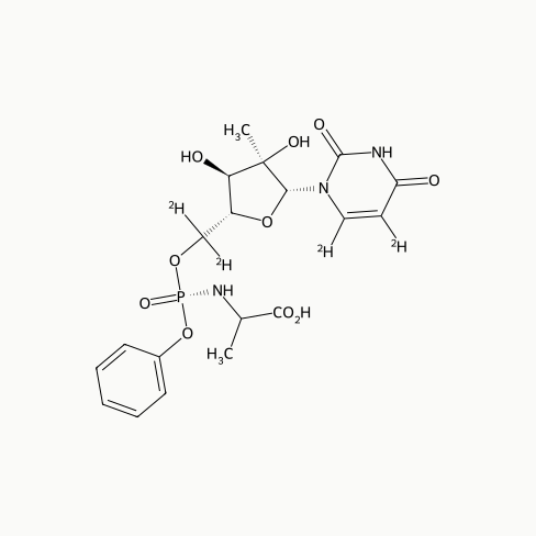 [2H]c1c([2H])n([C@@H]2O[C@H](C([2H])([2H])O[P@@](=O)(NC(C)C(=O)O)Oc3ccccc3)[C@@H](O)[C@@]2(C)O)c(=O)[nH]c1=O